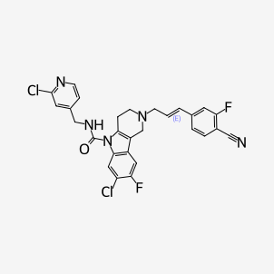 N#Cc1ccc(/C=C/CN2CCc3c(c4cc(F)c(Cl)cc4n3C(=O)NCc3ccnc(Cl)c3)C2)cc1F